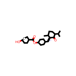 CC1CCC(C(C)C)C(=O)/C1=C/C1CCC(OC(=O)C2CCC(O)CC2)CC1